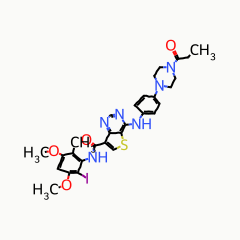 CCC(=O)N1CCN(c2ccc(Nc3ncnc4c(C(=O)Nc5c(C)c(OC)cc(OC)c5I)csc34)cc2)CC1